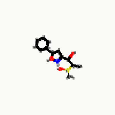 C[S+]([O-])[CH]([Na])C(=O)c1cc(-c2ccccc2)on1